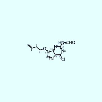 C=CCCOn1cnc2c(Cl)nc(NC=O)nc21